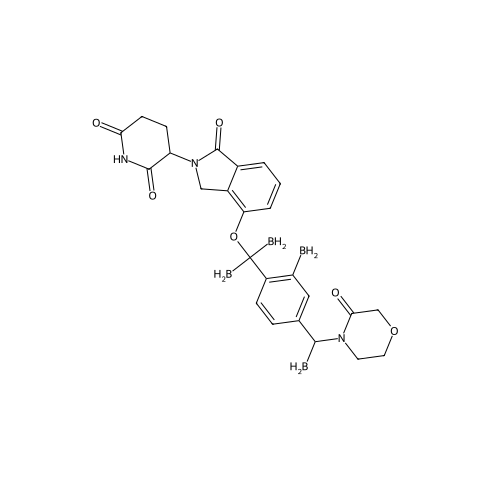 Bc1cc(C(B)N2CCOCC2=O)ccc1C(B)(B)Oc1cccc2c1CN(C1CCC(=O)NC1=O)C2=O